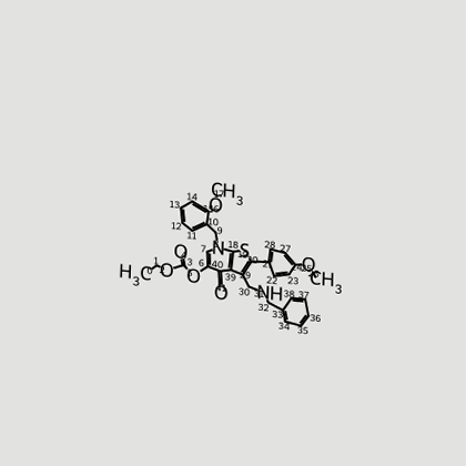 CCOC(=O)Oc1cn(Cc2ccccc2OC)c2sc(-c3ccc(OC)cc3)c(CNCc3ccccc3)c2c1=O